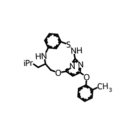 Cc1ccccc1Oc1cc2nc(n1)NSc1cccc(c1)NC(CC(C)C)CO2